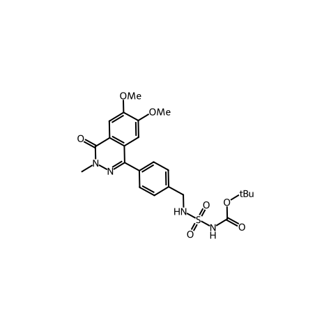 COc1cc2c(-c3ccc(CNS(=O)(=O)NC(=O)OC(C)(C)C)cc3)nn(C)c(=O)c2cc1OC